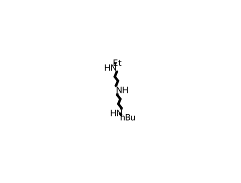 CCCCNCCCCNCCCCNCC